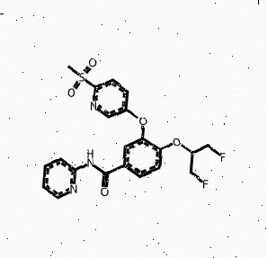 CS(=O)(=O)c1ccc(Oc2cc(C(=O)Nc3ccccn3)ccc2OC(CF)CF)cn1